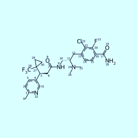 Cc1ccc([C@H](CC(=O)NC[C@H](Cc2ccc(C(N)=O)c(F)c2Cl)N(C)C)C2(C(F)(F)F)CC2)cn1